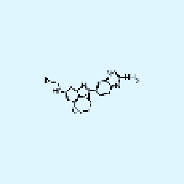 Nc1cnc2cc(-c3nc4cc(NCC5CC5)cc5c4n3CCCO5)ccc2n1